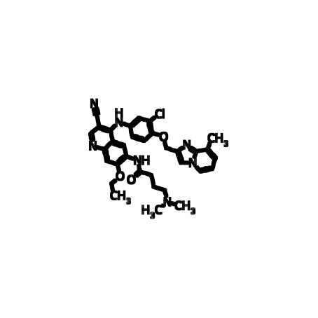 CCOc1cc2ncc(C#N)c(Nc3ccc(OCc4cn5cccc(C)c5n4)c(Cl)c3)c2cc1NC(=O)CCCN(C)C